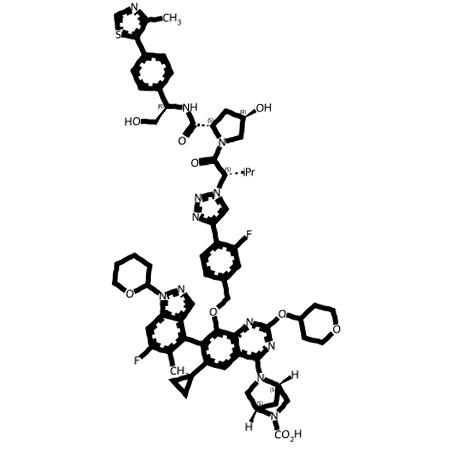 Cc1ncsc1-c1ccc([C@H](CO)NC(=O)[C@@H]2C[C@@H](O)CN2C(=O)[C@H](C(C)C)n2cc(-c3ccc(COc4c(-c5c(C)c(F)cc6c5cnn6C5CCCCO5)c(C5CC5)cc5c(N6C[C@@H]7C[C@H]6CN7C(=O)O)nc(OC6CCOCC6)nc45)cc3F)nn2)cc1